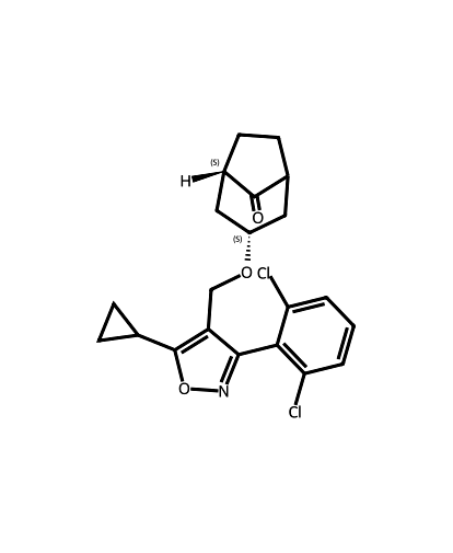 O=C1C2CC[C@H]1C[C@@H](OCc1c(-c3c(Cl)cccc3Cl)noc1C1CC1)C2